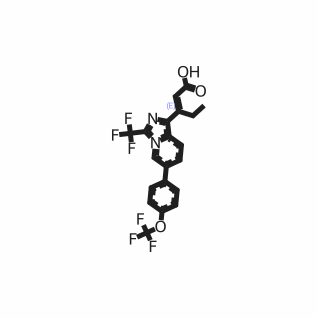 CC/C(=C\C(=O)O)c1nc(C(F)(F)F)n2cc(-c3ccc(OC(F)(F)F)cc3)ccc12